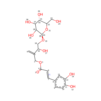 C=C(COC(=O)/C=C/c1ccc(O)c(O)c1)C(O)CO[C@@H]1OC(CO)[C@@H](O)C(O)C1O